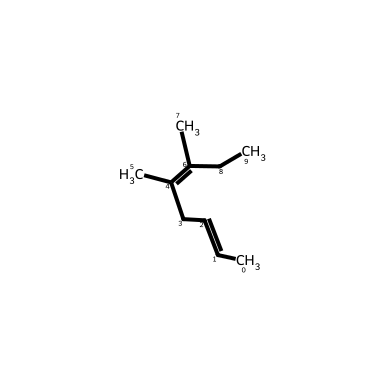 CC=CCC(C)=C(C)CC